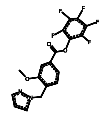 COc1cc(C(=O)Oc2c(F)c(F)c(F)c(F)c2F)ccc1Cn1cccn1